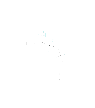 CCCC(F)(F)CC(F)(F)C(C)(F)C(F)(F)F